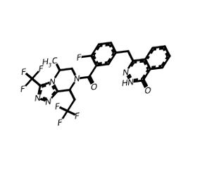 CC1CN(C(=O)c2cc(Cc3n[nH]c(=O)c4ccccc34)ccc2F)C(CC(F)(F)F)c2nnc(C(F)(F)F)n21